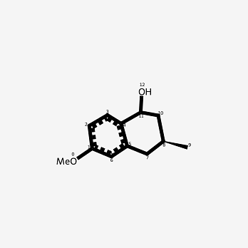 COc1ccc2c(c1)C[C@H](C)CC2O